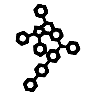 c1ccc(-c2ccc(-c3ccc(N(c4ccccc4)c4ccc5cc(-c6ccccc6)n6nc(-c7ccccc7)c(-c7ccccc7)c6c5c4)cc3)cc2)cc1